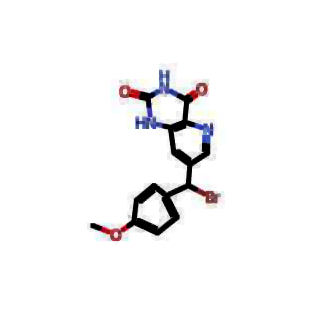 COc1ccc(C(Br)c2cnc3c(=O)[nH]c(=O)[nH]c3c2)cc1